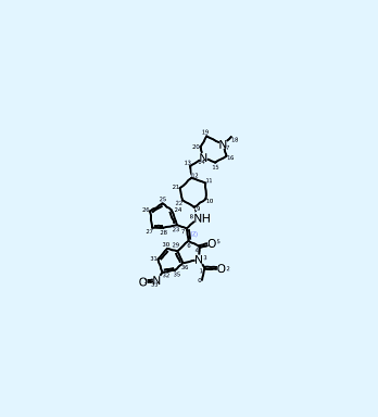 CC(=O)N1C(=O)/C(=C(\N[C@H]2CC[C@H](CN3CCN(C)CC3)CC2)c2ccccc2)c2ccc(N=O)cc21